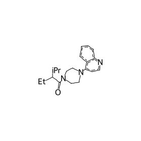 CCC(C(=O)N1CCN(c2ccnc3ccccc23)CC1)C(C)C